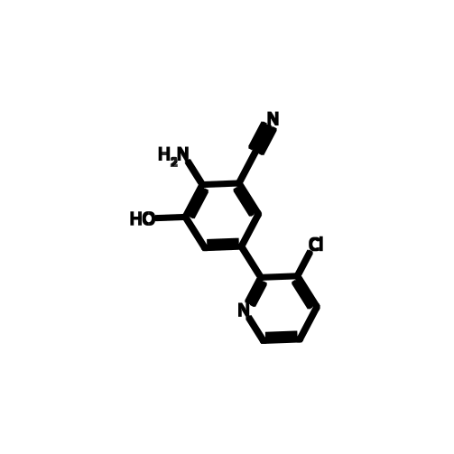 N#Cc1cc(-c2ncccc2Cl)cc(O)c1N